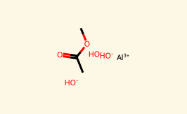 COC(C)=O.[Al+3].[OH-].[OH-].[OH-]